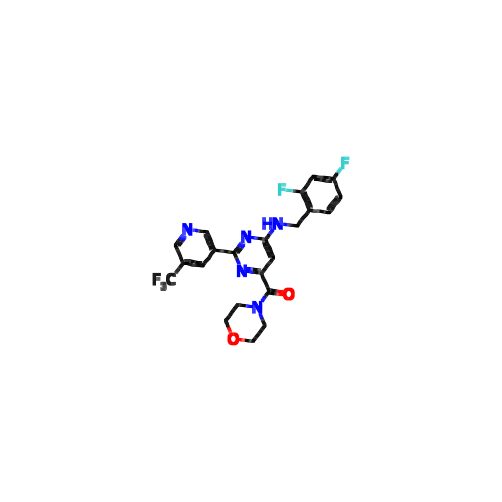 O=C(c1cc(NCc2ccc(F)cc2F)nc(-c2cncc(C(F)(F)F)c2)n1)N1CCOCC1